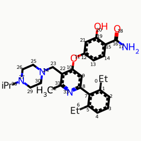 CCc1cccc(CC)c1-c1cc(Oc2ccc(C(N)=O)c(O)c2)c(CN2CCN(C(C)C)CC2)c(C)n1